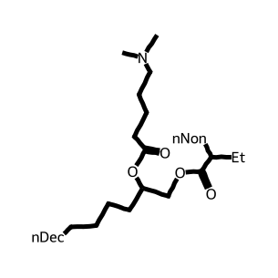 CCCCCCCCCCCCCCC(COC(=O)C(CC)CCCCCCCCC)OC(=O)CCCCN(C)C